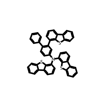 c1ccc(-c2ccc(N(c3cccc4c3sc3ccccc34)c3cccc4c3sc3ccccc34)cc2-c2cccc3c2sc2ccccc23)cc1